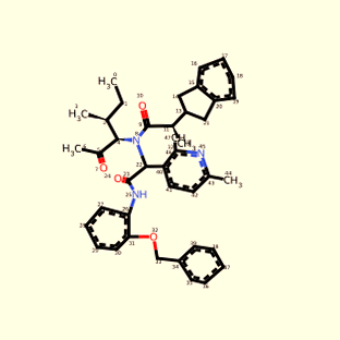 CC[C@H](C)[C@H](C(C)=O)N(C(=O)[C@H](C)C1Cc2ccccc2C1)C(C(=O)Nc1ccccc1OCc1ccccc1)c1ccc(C)nc1C